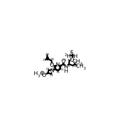 [2H]C([2H])(F)OCC(CC(C)C)NC(=O)c1ccc(N2CC(OC)C2)c(OCC2CC2)n1